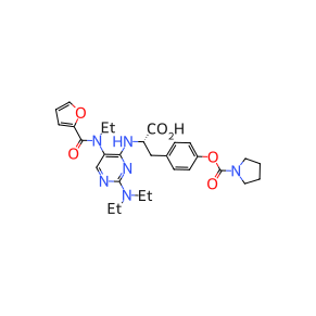 CCN(CC)c1ncc(N(CC)C(=O)c2ccco2)c(N[C@@H](Cc2ccc(OC(=O)N3CCCC3)cc2)C(=O)O)n1